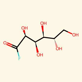 O=C(F)[C@@H](O)[C@H](O)[C@@H](O)[C@@H](O)CO